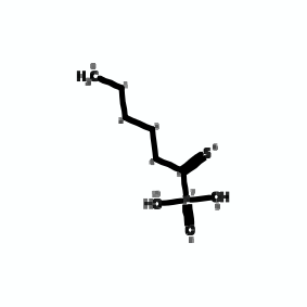 CCCCCC(=S)P(=O)(O)O